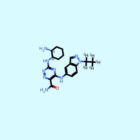 [2H]C([2H])([2H])C([2H])([2H])n1ncc2cc(Nc3nc(N[C@@H]4CCCC[C@@H]4N)nnc3C(N)=O)ccc21